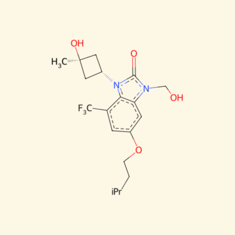 CC(C)CCOc1cc(C(F)(F)F)c2c(c1)n(CO)c(=O)n2[C@H]1C[C@](C)(O)C1